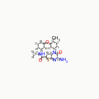 Cc1ccc(-n2c(=O)c(N)nc3sc(C(=O)NC4CC4)cc32)cc1Oc1ccccc1